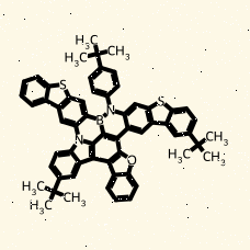 CC(C)(C)c1ccc(N2B3c4cc5sc6ccccc6c5cc4-n4c5ccc(C(C)(C)C)cc5c5c6c(oc7ccccc76)c(c3c54)-c3cc4c(cc32)sc2ccc(C(C)(C)C)cc24)cc1